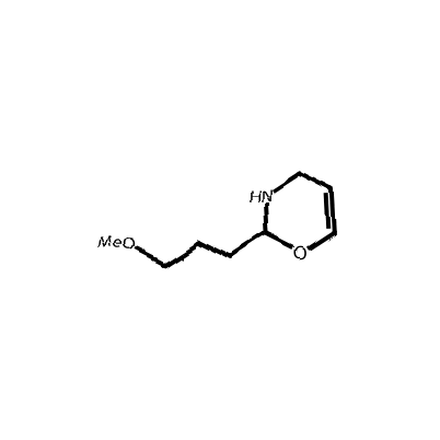 COCCCC1NCC=CO1